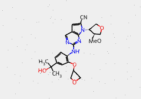 CO[C@@H]1COC[C@H]1n1c(C#N)cc2cnc(Nc3ccc(C(C)(C)O)cc3OC3COC3)nc21